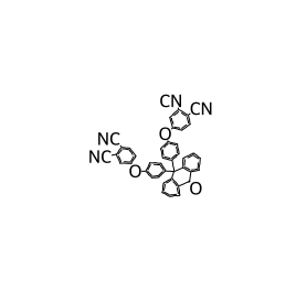 N#Cc1ccc(Oc2ccc(C3(c4ccc(Oc5ccc(C#N)c(C#N)c5)cc4)c4ccccc4C(=O)c4ccccc43)cc2)cc1C#N